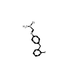 CCN(C)/C=N/c1ccc(Cc2ccccc2F)cc1